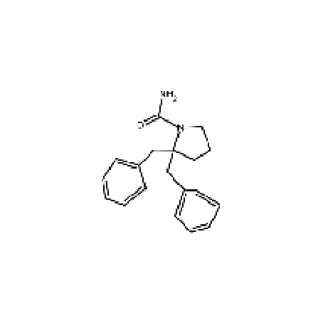 NC(=O)N1CCCC1(Cc1ccccc1)Cc1ccccc1